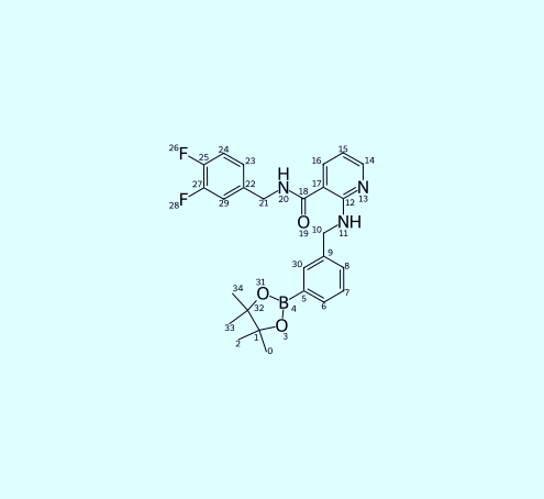 CC1(C)OB(c2cccc(CNc3ncccc3C(=O)NCc3ccc(F)c(F)c3)c2)OC1(C)C